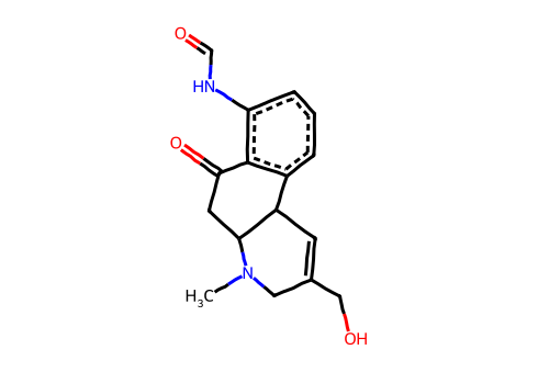 CN1CC(CO)=CC2c3cccc(NC=O)c3C(=O)CC21